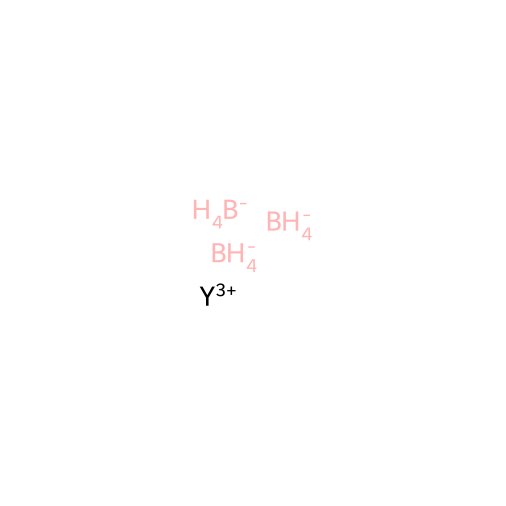 [BH4-].[BH4-].[BH4-].[Y+3]